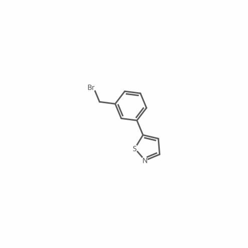 BrCc1cccc(-c2ccns2)c1